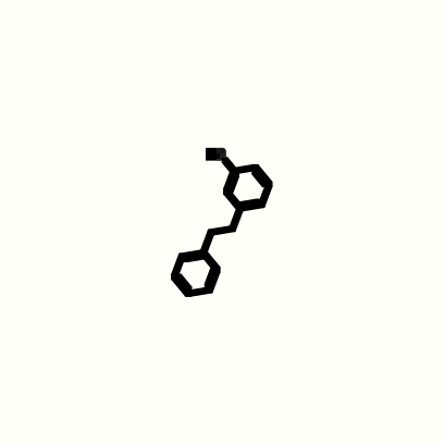 Oc1cccc(CCc2ccccc2)c1